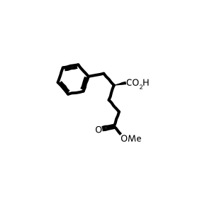 COC(=O)CC[C@@H](Cc1ccccc1)C(=O)O